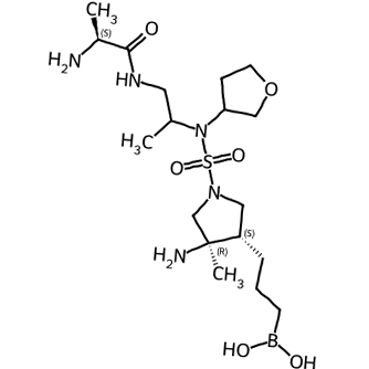 CC(CNC(=O)[C@H](C)N)N(C1CCOC1)S(=O)(=O)N1C[C@H](CCCB(O)O)[C@@](C)(N)C1